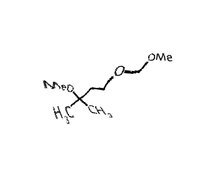 COCOCCC(C)(C)OC